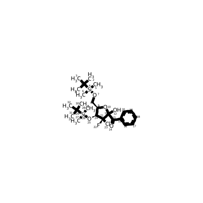 CC(C)(C)[Si](C)(C)OC[C@H]1OC(O)(C(=O)c2ccccc2)[C@](F)(Cl)[C@@H]1O[Si](C)(C)C(C)(C)C